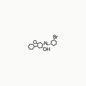 Oc1cc2c(cc1/N=C/c1cccc(Br)c1)oc1ccccc12